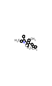 Cc1ccc2nc(-c3c4ccccc4c(-c4ccc5c(c4)C(C)(C)c4ccccc4-5)c4cc(C)ccc34)cc(-c3ccccc3)c2c1